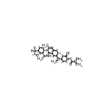 Cc1nc(N[C@H](C)c2cccc3c2OCC3(F)F)c2cc(N(C)c3ccn(CC(=O)N(C)C)c(=O)c3)ccc2n1